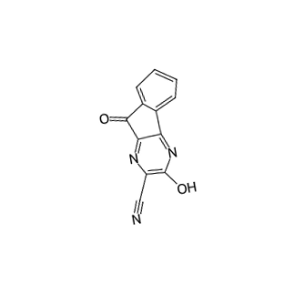 N#Cc1nc2c(nc1O)-c1ccccc1C2=O